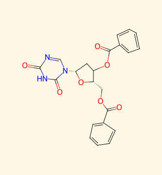 O=C(OC[C@@H]1O[C@H](n2cnc(=O)[nH]c2=O)CC1OC(=O)c1ccccc1)c1ccccc1